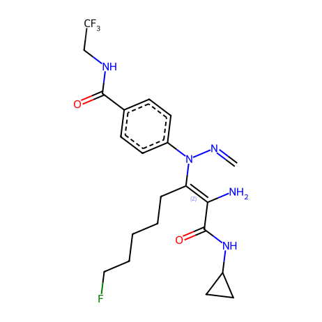 C=NN(/C(CCCCCF)=C(\N)C(=O)NC1CC1)c1ccc(C(=O)NCC(F)(F)F)cc1